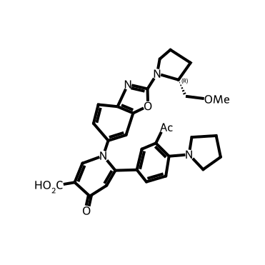 COC[C@H]1CCCN1c1nc2ccc(-n3cc(C(=O)O)c(=O)cc3-c3ccc(N4CCCC4)c(C(C)=O)c3)cc2o1